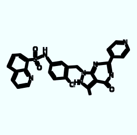 Cc1[nH]n(Cc2cc(NS(=O)(=O)c3cccc4cccnc34)ccc2Cl)c2nc(-c3ccncc3)nc(=O)c1-2